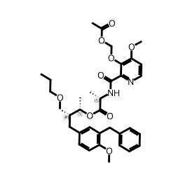 CCCOC[C@@H](Cc1ccc(OC)c(Cc2ccccc2)c1)[C@H](C)OC(=O)[C@H](C)NC(=O)c1nccc(OC)c1OCOC(C)=O